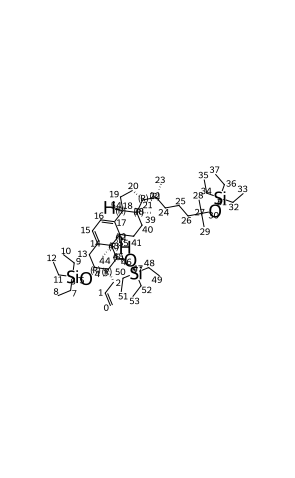 C=CC[C@@H]1[C@H](O[Si](CC)(CC)CC)CC2=CC=C3[C@@H]4CC[C@H]([C@H](C)CCCC(C)(C)O[Si](CC)(CC)CC)[C@@]4(C)CC[C@@H]3[C@@]2(C)[C@H]1O[Si](CC)(CC)CC